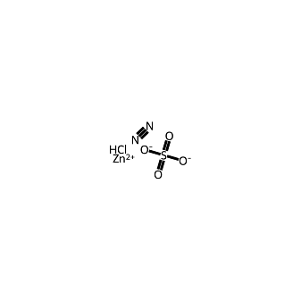 Cl.N#N.O=S(=O)([O-])[O-].[Zn+2]